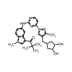 Cc1nn(-c2ccnc(Nc3ccc4c(c3)c(C(=O)C(C)(C)C)cn4C)n2)cc1CN1C[C@@H](O)[C@@H](O)C1